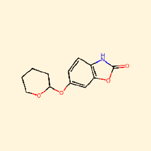 O=c1[nH]c2ccc(OC3CCCCO3)cc2o1